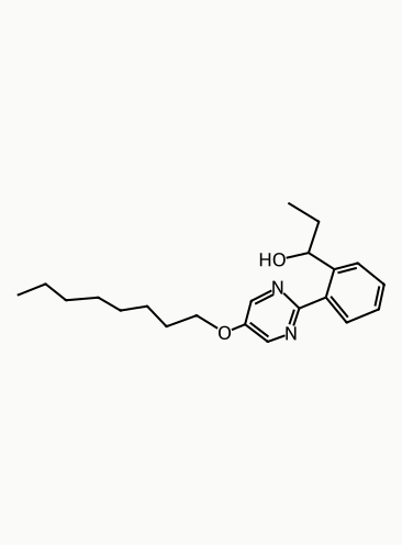 CCCCCCCCOc1cnc(-c2ccccc2C(O)CC)nc1